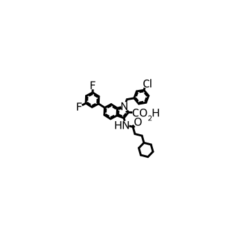 O=C(CCC1CCCCC1)Nc1c(C(=O)O)n(Cc2cccc(Cl)c2)c2cc(-c3cc(F)cc(F)c3)ccc12